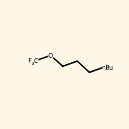 CCCCCCCOC(F)(F)F